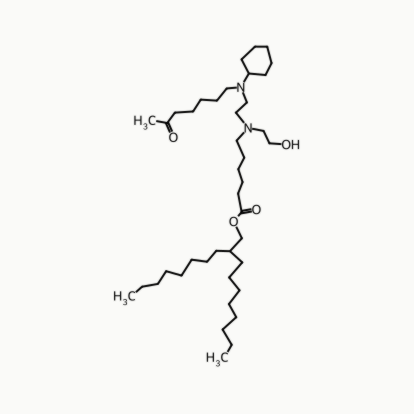 CCCCCCCCC(CCCCCCCC)COC(=O)CCCCCN(CCO)CCN(CCCCCC(C)=O)C1CCCCC1